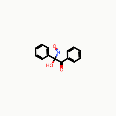 O=NC(O)(C(=O)c1ccccc1)c1ccccc1